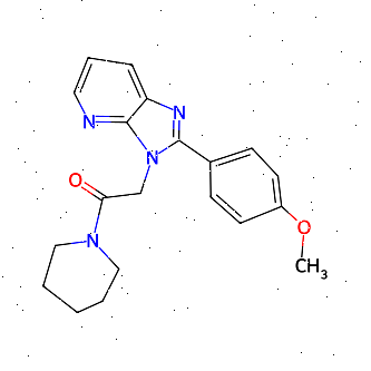 COc1ccc(-c2nc3cccnc3n2CC(=O)N2CCCCC2)cc1